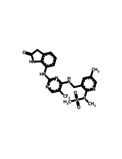 Cc1cnc(N(C)S(C)(=O)=O)c(CNc2nc(Nc3cccc4c3NC(=O)C4)ncc2C(F)(F)F)c1